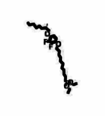 CCCCCC[C@H](C)COc1ccc(OCCCCCCCCCCCP(OCC)OCC)c(F)c1F